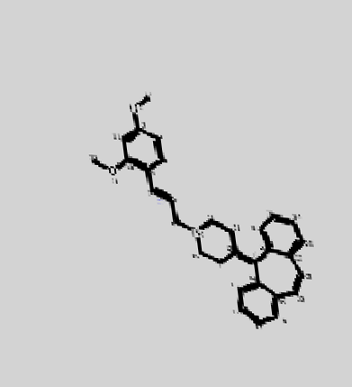 COc1ccc(/C=C/CN2CCC(=C3c4ccccc4C=Cc4ccccc43)CC2)c(OC)c1